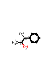 CC[C@@H](c1ccccc1)[C@H](C)O